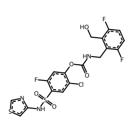 O=C(NCc1c(F)ccc(F)c1CO)Oc1cc(F)c(S(=O)(=O)Nc2cscn2)cc1Cl